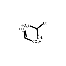 C=CC(=O)O.CCC(N)S(=O)(=O)O